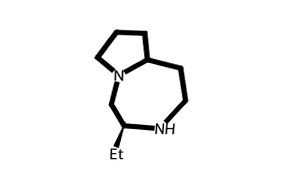 CC[C@H]1CN2CCCC2CCN1